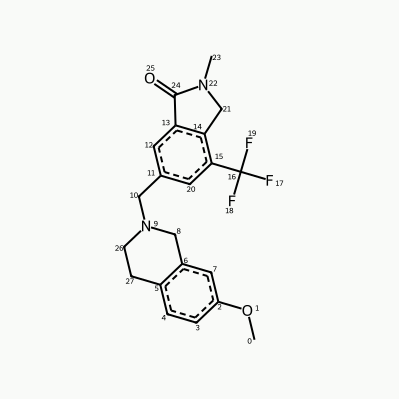 COc1ccc2c(c1)CN(Cc1cc3c(c(C(F)(F)F)c1)CN(C)C3=O)CC2